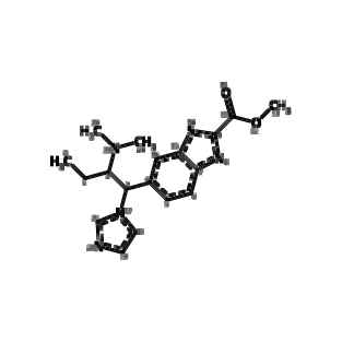 CCC(C(c1ccc2nc(C(=O)OC)sc2c1)n1ccnc1)N(C)C